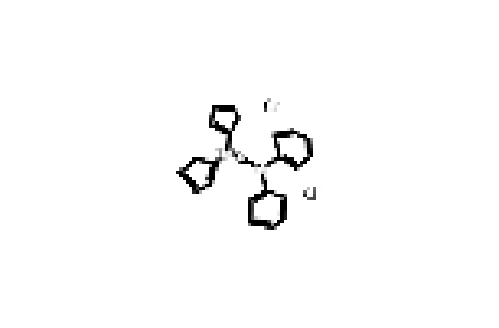 [B](N(c1ccccc1)c1ccccc1)=[Zr+2]([C]1=CC=CC1)[C]1=CC=CC1.[Cl-].[Cl-]